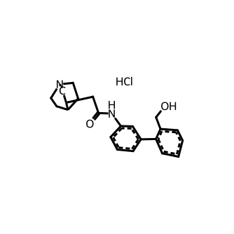 Cl.O=C(CC1CN2CCC1CC2)Nc1cccc(-c2ccccc2CO)c1